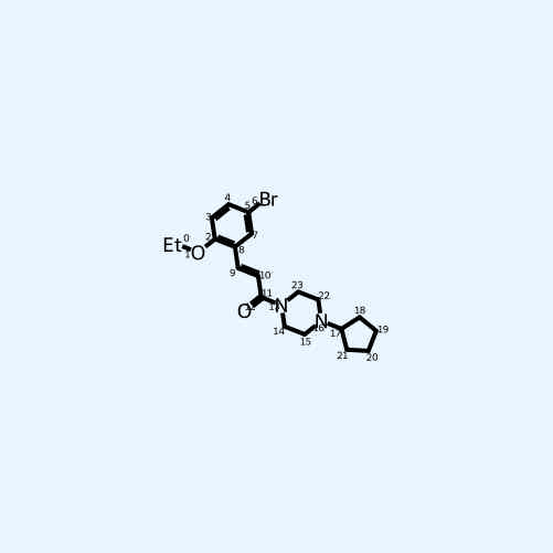 CCOc1ccc(Br)cc1C=CC(=O)N1CCN(C2CCCC2)CC1